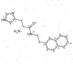 N[C@H](Cc1c[nH]cn1)C(=O)NCCc1ccc2ccccc2c1